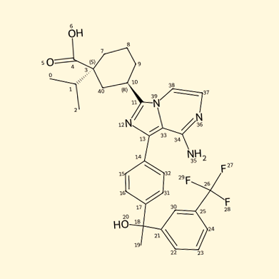 CC(C)[C@]1(C(=O)O)CCC[C@@H](c2nc(-c3ccc(C(C)(O)c4cccc(C(F)(F)F)c4)cc3)c3c(N)nccn23)C1